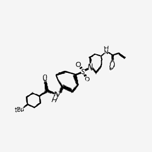 C=CC(=O)NC1CCN(S(=O)(=O)c2ccc(NC(=O)C3CCC(C(C)(C)C)CC3)cc2)CC1